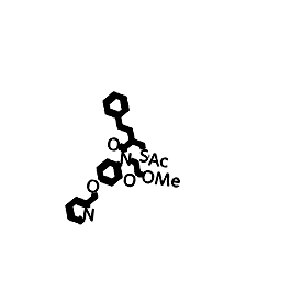 COC(=O)CN(C(=O)C(CCc1ccccc1)CSC(C)=O)c1ccc(OCc2ccccn2)cc1